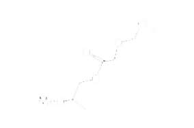 COC(C)COC(=O)COCC(F)(F)F